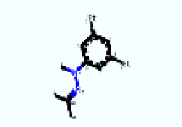 CCc1cc(CC)cc(N(C)N=C(C)C)c1